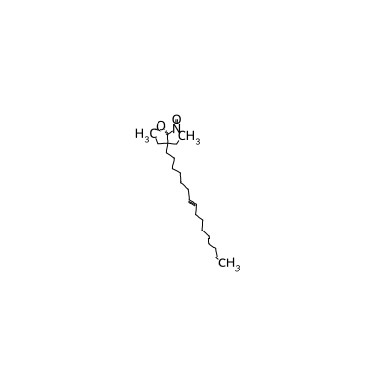 CCCCCCCCC=CCCCCCCC(CC)(CC)C(=O)N=O